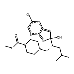 COC(=O)N1CCN(C[C@@H](CC(C)C)C2(O)N=c3cc(Cl)cnc3=N2)CC1